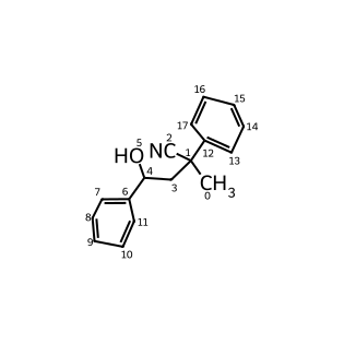 CC(C#N)(CC(O)c1ccccc1)c1ccccc1